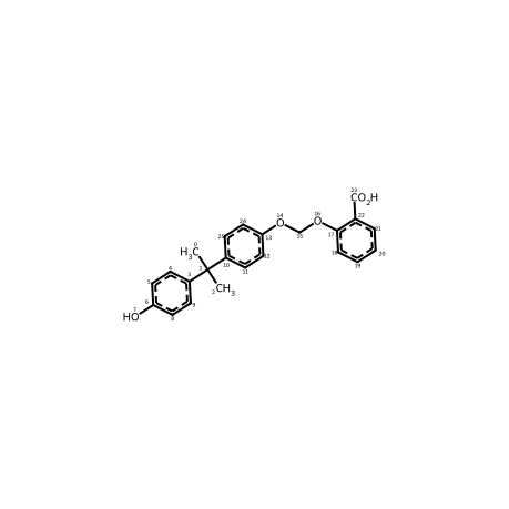 CC(C)(c1ccc(O)cc1)c1ccc(OCOc2ccccc2C(=O)O)cc1